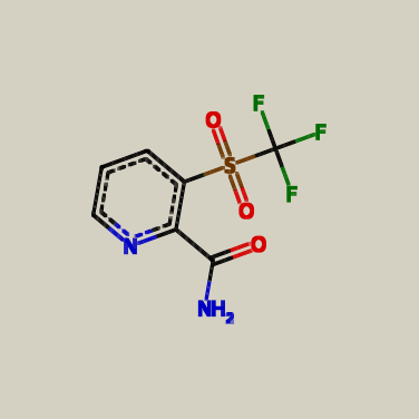 NC(=O)c1ncccc1S(=O)(=O)C(F)(F)F